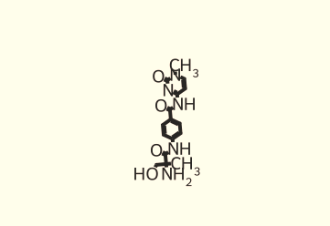 Cn1ccc(NC(=O)c2ccc(NC(=O)C(C)(N)CO)cc2)nc1=O